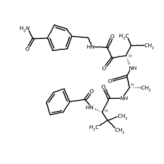 CC(C)[C@H](NC(=O)[C@H](C)NC(=O)[C@@H](NC(=O)c1ccccc1)C(C)(C)C)C(=O)C(=O)NCc1ccc(C(N)=O)cc1